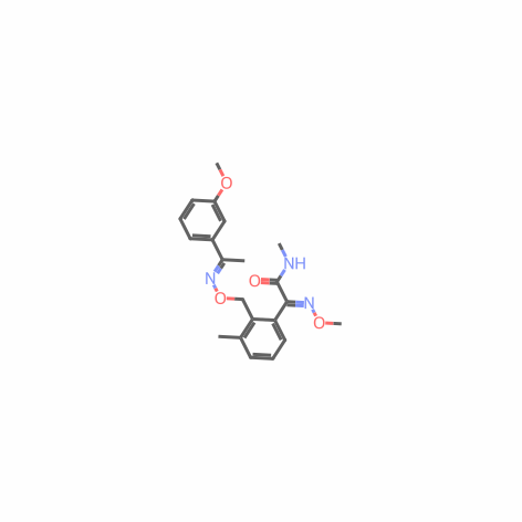 CNC(=O)/C(=N/OC)c1cccc(C)c1CO/N=C(\C)c1cccc(OC)c1